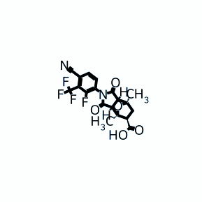 C[C@]12O[C@](C)(C[C@H]1C(=O)O)[C@H]1C(=O)N(c3ccc(C#N)c(C(F)(F)F)c3F)C(=O)[C@H]12